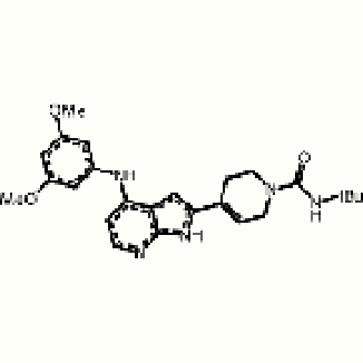 COc1cc(Nc2ccnc3[nH]c(C4=CCN(C(=O)NC(C)(C)C)CC4)cc23)cc(OC)c1